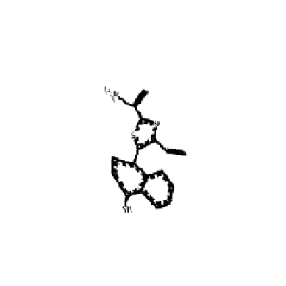 C=Cc1nc(C(=C)N)sc1-c1ccc(S)c2ccccc12